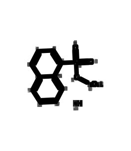 CCCCCCCCOS(=O)(=O)c1cccc2ccccc12.[KH]